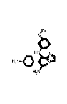 CC(C)Oc1cccc(Nc2c3nccn3nc(N)c2[C@H]2CC[C@H](N)CC2)c1